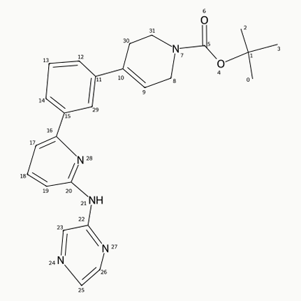 CC(C)(C)OC(=O)N1CC=C(c2cccc(-c3cccc(Nc4cnccn4)n3)c2)CC1